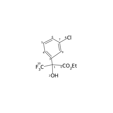 CCOC(=O)C(O)(c1cccc(Cl)c1)C(F)(F)F